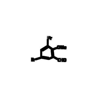 COc1c(C=O)cc(Br)cc1C(C)C